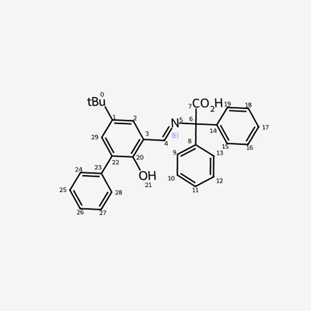 CC(C)(C)c1cc(/C=N/C(C(=O)O)(c2ccccc2)c2ccccc2)c(O)c(-c2ccccc2)c1